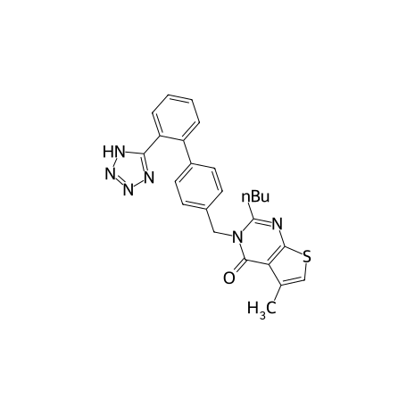 CCCCc1nc2scc(C)c2c(=O)n1Cc1ccc(-c2ccccc2-c2nnn[nH]2)cc1